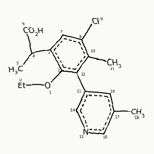 CCOc1c(C(C)C(=O)O)cc(Cl)c(C)c1-c1cncc(C)c1